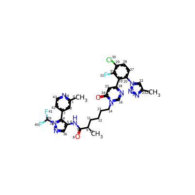 Cc1cc(-c2c(NC(=O)[C@H](C)CCCCn3cnc(-c4c(-n5cc(C)nn5)ccc(Cl)c4F)cc3=O)cnn2C(F)F)ccn1